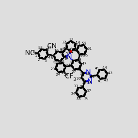 N#Cc1ccc(-c2ccc3c(c2)c2ccccc2n3-c2c(-c3ccccc3C(F)(F)F)cc(-c3cc(-c4ccccc4)nc(-c4ccccc4)n3)cc2-c2ccccc2C(F)(F)F)c(C#N)c1